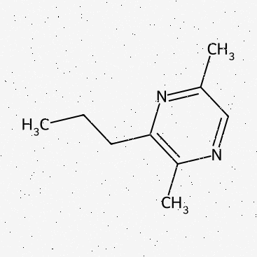 CCCc1nc(C)cnc1C